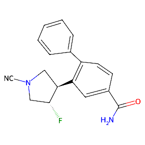 N#CN1C[C@@H](F)[C@H](c2cc(C(N)=O)ccc2-c2ccccc2)C1